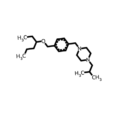 CCCC(CC)OCc1ccc(CN2CCN(CC(C)C)CC2)cc1